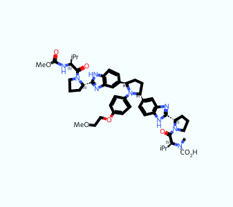 COCCOc1ccc(N2[C@@H](c3ccc4[nH]c([C@@H]5CCCN5C(=O)[C@@H](NC(=O)OC)C(C)C)nc4c3)CC[C@@H]2c2ccc3[nH]c([C@@H]4CCCN4C(=O)[C@H](C(C)C)N(C)C(=O)O)nc3c2)cc1